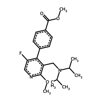 COC(=O)c1ccc(-c2c(F)cnc(OC)c2CN(C(C)C)C(C)C)cc1